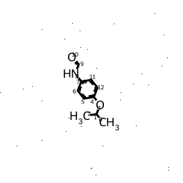 CC(C)Oc1ccc(N[C]=O)cc1